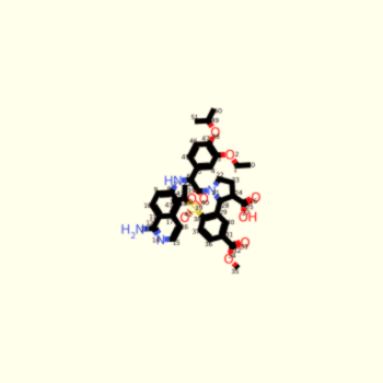 CCOc1cc(C(Nc2ccc3c(N)nccc3c2)C(=O)N2CCC(C(=O)O)C2c2cc(C(=O)OC)ccc2S(=O)(=O)C(C)C)ccc1OC(C)C